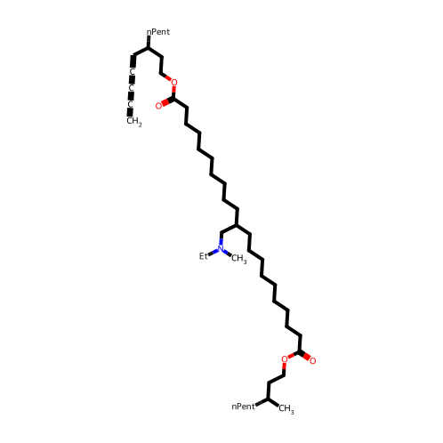 C=C=C=C=CC(CCCCC)CCOC(=O)CCCCCCCCCC(CCCCCCCCCC(=O)OCCC(C)CCCCC)CN(C)CC